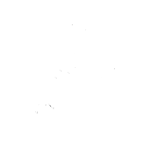 NC(=O)[C@H](N)CCc1cn(C(COCC(CO)CO)(COCC(CO)CO)COCC(CO)CO)nn1